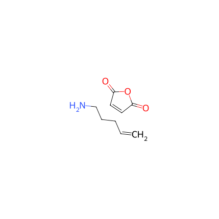 C=CCCCN.O=C1C=CC(=O)O1